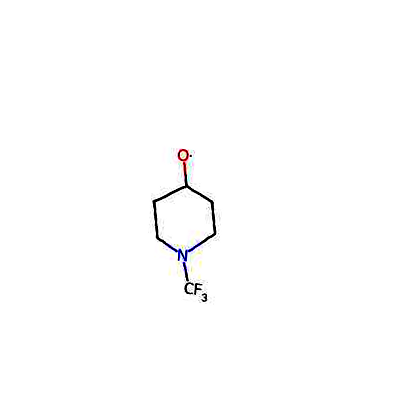 [O]C1CCN(C(F)(F)F)CC1